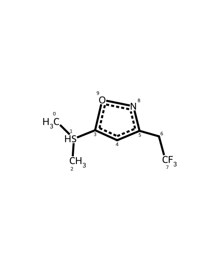 C[SH](C)c1cc(CC(F)(F)F)no1